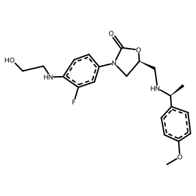 COc1ccc([C@H](C)NC[C@H]2CN(c3ccc(NCCO)c(F)c3)C(=O)O2)cc1